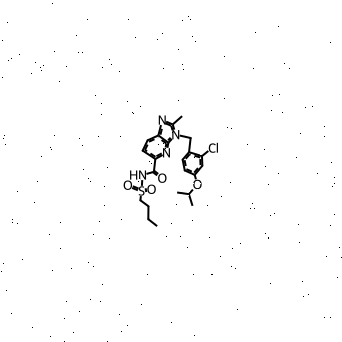 CCCCS(=O)(=O)NC(=O)c1ccc2nc(C)n(Cc3ccc(OC(C)C)cc3Cl)c2n1